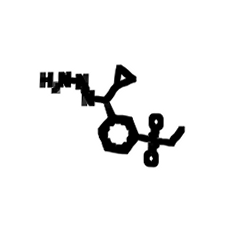 CCS(=O)(=O)c1cccc([C@@H](N=NN)C2CC2)c1